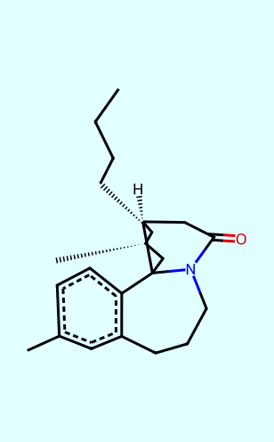 CCCC[C@@H]1[C@@H](C)CC23c4ccc(C)cc4CCCN2C(=O)C[C@@H]13